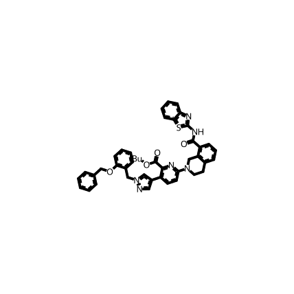 CC(C)(C)OC(=O)c1nc(N2CCc3cccc(C(=O)Nc4nc5ccccc5s4)c3C2)ccc1-c1cnn(Cc2ccccc2OCc2ccccc2)c1